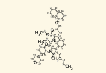 C=CCOCc1c(-c2cccc3c(CCCOc4cccc5ccccc45)c(C(=O)OCC)n(CC=C)c23)c(COc2ccc(N3CCOCC3)cc2)nn1C